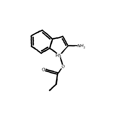 CCC(=O)O[SH]1C(N)=Cc2ccccc21